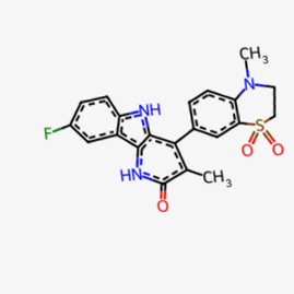 Cc1c(-c2ccc3c(c2)S(=O)(=O)CCN3C)c2[nH]c3ccc(F)cc3c2[nH]c1=O